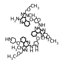 CCOCc1nc2c(N)nc3cccc(OC4COC(Nc5nc6cccc(OC7CNC(Nc8nc9cccc(OC%10CCNCC%10)c9c9c8nc(COCC)n9C)C7)c6c6c5nc(COCC)n6C)C4)c3c2n1C